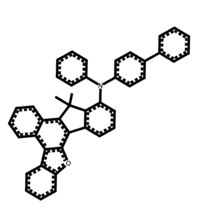 CC1(C)c2c(cccc2N(c2ccccc2)c2ccc(-c3ccccc3)cc2)-c2c1c1ccccc1c1c2oc2ccccc21